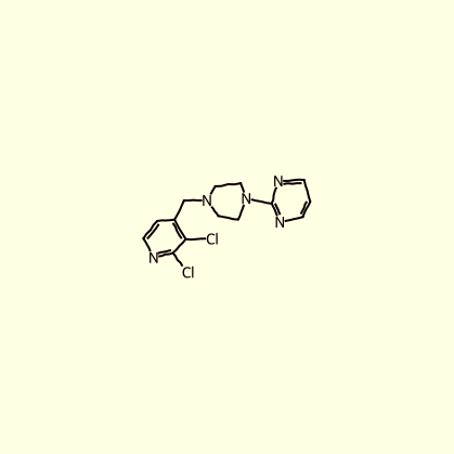 Clc1nccc(CN2CCN(c3ncccn3)CC2)c1Cl